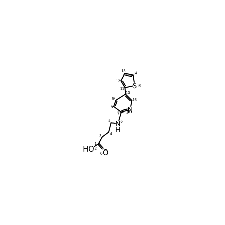 O=C(O)CCCNc1ccc(-c2cccs2)cn1